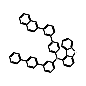 c1ccc(-c2ccc(-c3cccc(N(c4ccc(-c5cccc(-c6ccc7ccccc7c6)c5)cc4)c4cccc5oc6ccccc6c45)c3)cc2)cc1